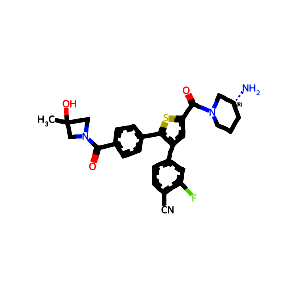 CC1(O)CN(C(=O)c2ccc(-c3sc(C(=O)N4CCC[C@@H](N)C4)cc3-c3ccc(C#N)c(F)c3)cc2)C1